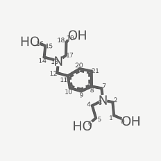 OCCN(CCO)Cc1ccc(CN(CCO)CCO)cc1